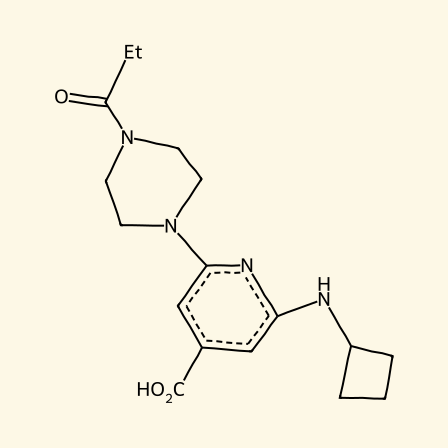 CCC(=O)N1CCN(c2cc(C(=O)O)cc(NC3CCC3)n2)CC1